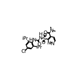 CC(C)c1cc(Cl)cc(C(C)C)c1NC(=O)NS(=O)(=O)c1nnccc1C(=O)N(C)C